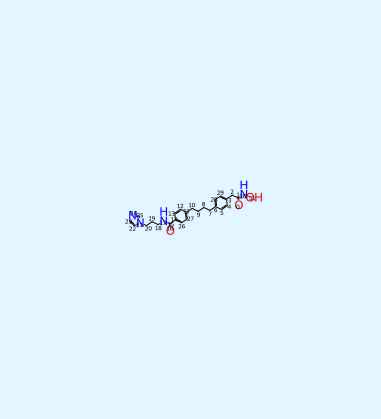 O=C(Cc1ccc(CCCCc2ccc(C(=O)NCCCn3ccnc3)cc2)cc1)NO